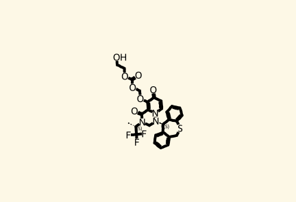 C[C@H](N1CN([C@H]2c3ccccc3CSc3ccccc32)n2ccc(=O)c(OCOC(=O)OCCO)c2C1=O)C(F)(F)F